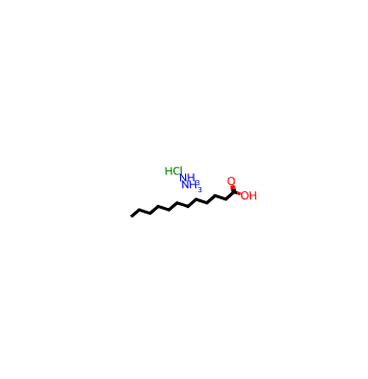 CCCCCCCCCCCC(=O)O.Cl.N.N